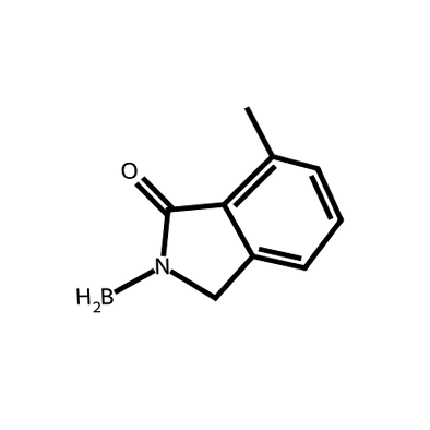 BN1Cc2cccc(C)c2C1=O